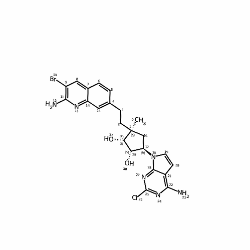 C[C@]1(CCc2ccc3cc(Br)c(N)nc3c2)C[C@@H](n2ccc3c(N)nc(Cl)nc32)[C@H](O)[C@@H]1O